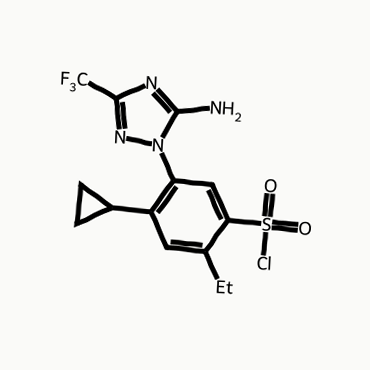 CCc1cc(C2CC2)c(-n2nc(C(F)(F)F)nc2N)cc1S(=O)(=O)Cl